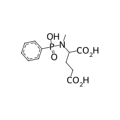 CN(C(CCC(=O)O)C(=O)O)P(=O)(O)c1ccccc1